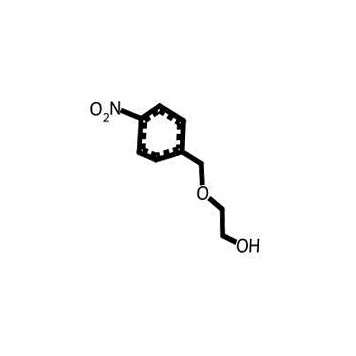 O=[N+]([O-])c1ccc(COCCO)cc1